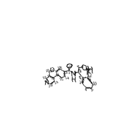 O=C(NC(CO)c1ccccc1F)c1ccc2c(c1)OCc1cnccc1-2